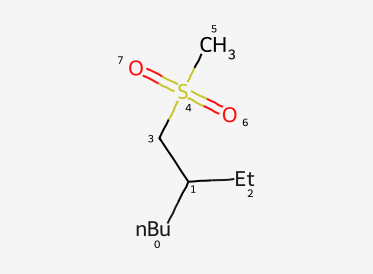 CCCCC(CC)CS(C)(=O)=O